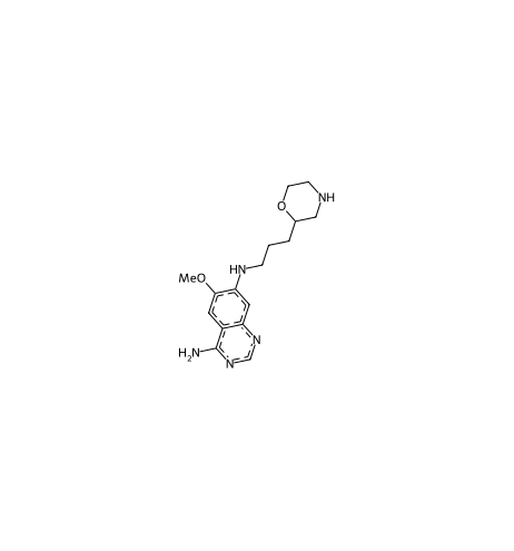 COc1cc2c(N)ncnc2cc1NCCCC1CNCCO1